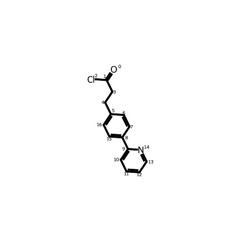 O=C(Cl)CCc1ccc(-c2ccccn2)cc1